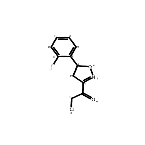 O=C(CCl)C1=NOC(c2ccccc2F)C1